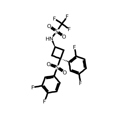 O=S(=O)(N[C@H]1C[C@@](c2cc(F)ccc2F)(S(=O)(=O)c2ccc(F)c(F)c2)C1)C(F)(F)F